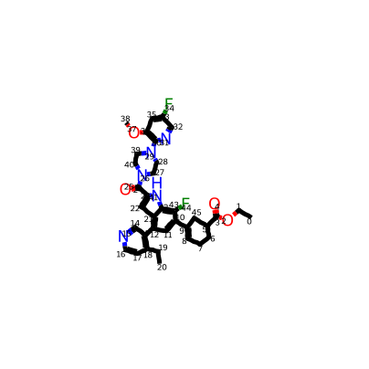 CCOC(=O)C1CCC=C(c2cc(-c3cnccc3CC)c3cc(C(=O)N4CCN(c5ncc(F)cc5OC)CC4)[nH]c3c2F)C1